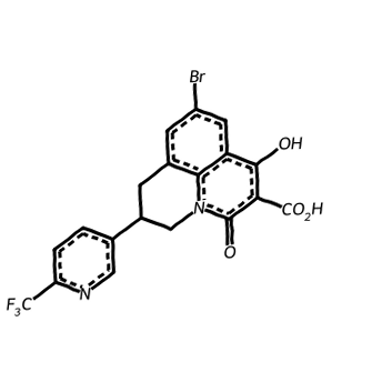 O=C(O)c1c(O)c2cc(Br)cc3c2n(c1=O)CC(c1ccc(C(F)(F)F)nc1)C3